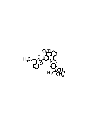 CCCC(NC(=O)c1ccc(-c2c(C)cccc2-c2nc3cc(C(C)(C)C)ccc3[nH]2)c(C(=O)O)c1)c1ccccc1